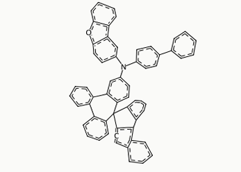 c1ccc(-c2ccc(N(c3ccc4c(c3)-c3ccccc3-c3ccccc3C43c4ccccc4-c4c3ccc3ccccc43)c3ccc4oc5ccccc5c4c3)cc2)cc1